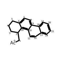 CC(=O)CC1CCCc2ccc3c(ccc4ccccc43)c21